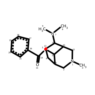 CN1CC2CCC(N(C)C)C(C1)C2OC(=O)c1ccccc1